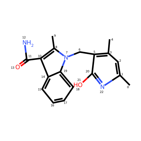 Cc1cc(C)c(Cn2c(C)c(C(N)=O)c3ccccc32)c(O)n1